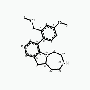 COCc1cc(OC)ccc1-c1cccc2c1N1CCNCCC1C2